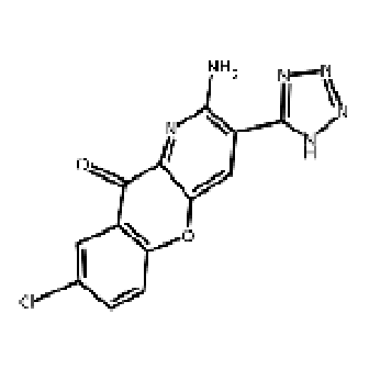 Nc1nc2c(=O)c3cc(Cl)ccc3oc2cc1-c1nnn[nH]1